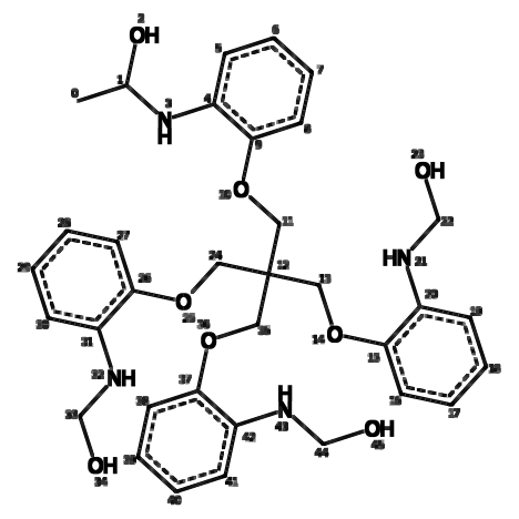 CC(O)Nc1ccccc1OCC(COc1ccccc1NCO)(COc1ccccc1NCO)COc1ccccc1NCO